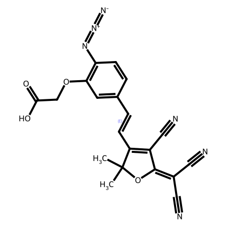 CC1(C)OC(=C(C#N)C#N)C(C#N)=C1/C=C/c1ccc(N=[N+]=[N-])c(OCC(=O)O)c1